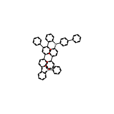 c1ccc(-c2ccc(N(c3ccc(-c4ccccc4)cc3)c3ccccc3-c3ccc(-c4ccc5c6ccccc6n(-c6ccccc6)c5c4)cc3-c3ccccc3)cc2)cc1